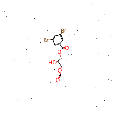 O=COCC(O)COC(=O)c1cc(Br)cc(Br)c1